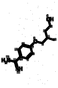 C[C@H](CCO)COc1ccc(C(=N)N)cc1